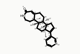 C[C@]12CCNC(=O)C=C1CC[C@@H]1[C@@H]2CC[C@]2(C)C(c3cccnc3)=CC[C@@H]12